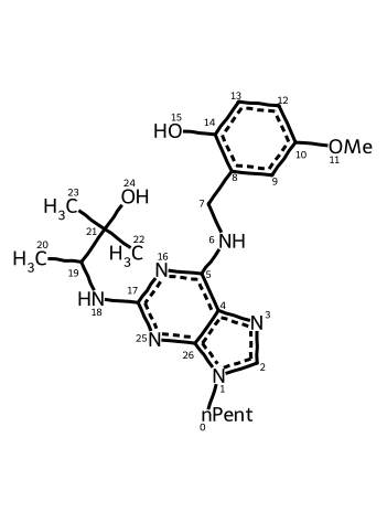 CCCCCn1cnc2c(NCc3cc(OC)ccc3O)nc(NC(C)C(C)(C)O)nc21